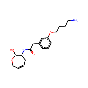 NCCCCOc1cccc(CC(=O)N[C@H]2CC=CCOB2O)c1